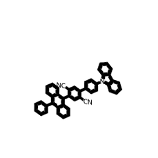 N#Cc1cc(-c2c3ccccc3c(-c3ccccc3)c3ccccc23)c(C#N)cc1-c1ccc(-n2c3ccccc3c3ccccc32)cc1